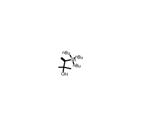 C=[C](C(C)(C)O)[Sn]([CH2]CCC)([CH2]CCC)[CH2]CCC